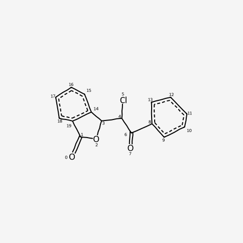 O=C1OC(C(Cl)C(=O)c2ccccc2)c2ccccc21